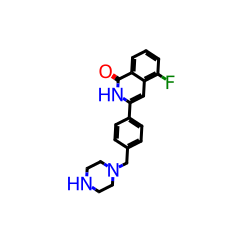 O=c1[nH]c(-c2ccc(CN3CCNCC3)cc2)cc2c(F)cccc12